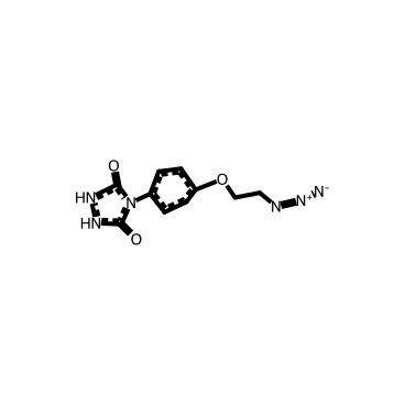 [N-]=[N+]=NCCOc1ccc(-n2c(=O)[nH][nH]c2=O)cc1